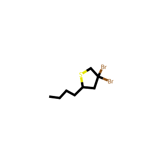 CCCCC1CC(Br)(Br)CS1